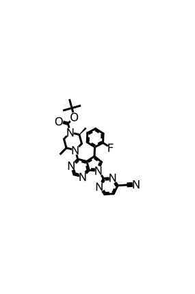 CC1CN(C(=O)OC(C)(C)C)[C@@H](C)CN1c1ncnc2c1c(-c1ccccc1F)cn2-c1nccc(C#N)n1